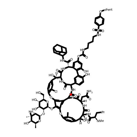 CCCCCOc1ccc(S(=O)(=O)NCCCCNC(=O)Oc2cc(O)c3c(c2)[C@@H](C(=O)NC2C4CC5CC(C4)CC2C5)NC(=O)[C@H]2NC(=O)[C@H](NC(=O)[C@@H]4NC(=O)[C@H](CC(N)=O)NC(=O)[C@H](NC(=O)[C@@H](CC(C)C)NC)[C@H](O)c5ccc(c(C)c5)Oc5cc4cc(c5O[C@@H]4O[C@H](CO)[C@@H](O)[C@H](O)[C@H]4O[C@H]4C[C@](C)(N)[C@H](O)[C@H](C)O4)Oc4ccc(cc4Cl)[C@H]2O)c2ccc(O)c-3c2)cc1